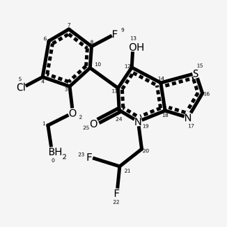 BCOc1c(Cl)ccc(F)c1-c1c(O)c2scnc2n(CC(F)F)c1=O